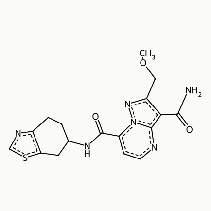 COCc1nn2c(C(=O)NC3CCc4ncsc4C3)ccnc2c1C(N)=O